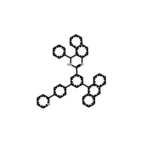 c1ccc(C2NC(c3cc(-c4ccc(-c5ccccn5)cc4)cc(-c4c5ccccc5cc5ccccc45)c3)=Nc3ccc4ccccc4c32)cc1